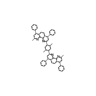 Cc1cc(-c2ccccc2)c2ccc3c(-c4ccccc4)cc(-c4cc(C)c(-c5cc(-c6ccccc6)c6ccc7c(-c8ccccc8)cc(C)nc7c6n5)cc4C)nc3c2n1